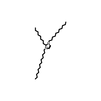 CCCCCCCCCCCCCN1C=CN(CCCCCCCCCCC)C1CCCCCCCC